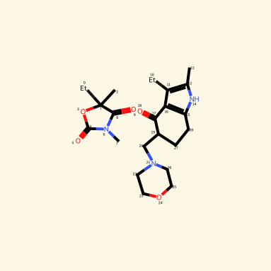 CCC1(C)OC(=O)N(C)C1=O.CCc1c(C)[nH]c2c1C(=O)C(CN1CCOCC1)CC2